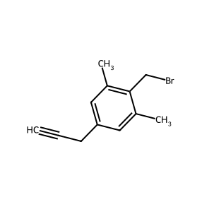 C#CCc1cc(C)c(CBr)c(C)c1